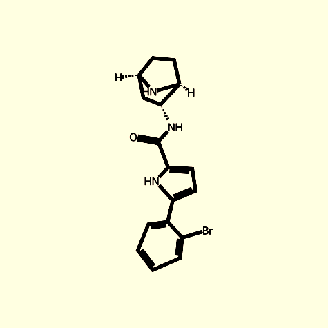 O=C(N[C@@H]1C[C@H]2CC[C@@H]1N2)c1ccc(-c2ccccc2Br)[nH]1